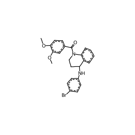 COc1ccc(C(=O)N2CCC(Nc3ccc(Br)cc3)c3ccccc32)cc1OC